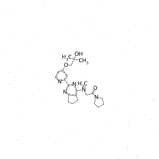 CN(CC(=O)N1CCCC1)c1nc(-c2cc(OCC(C)(C)O)ccn2)nc2c1CCC2